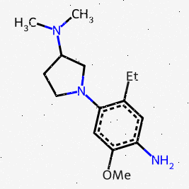 CCc1cc(N)c(OC)cc1N1CCC(N(C)C)C1